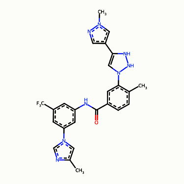 Cc1cn(-c2cc(NC(=O)c3ccc(C)c(N4C=C(c5cnn(C)c5)NN4)c3)cc(C(F)(F)F)c2)cn1